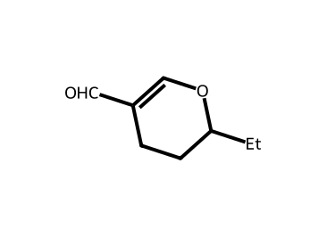 CCC1CCC(C=O)=CO1